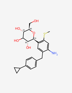 CSc1cc(N)c(Cc2ccc(C3CC3)cc2)cc1[C@@H]1O[C@H](CO)[C@@H](O)C(O)[C@H]1O